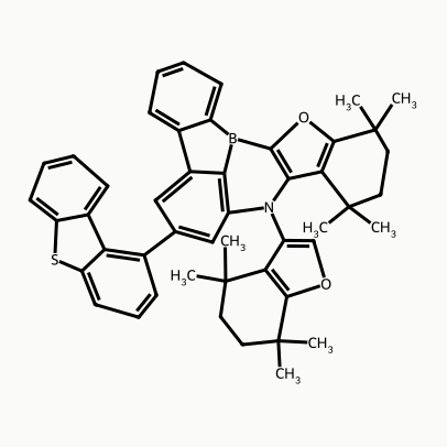 CC1(C)CCC(C)(C)c2c(N3c4cc(-c5cccc6sc7ccccc7c56)cc5c4B(c4ccccc4-5)c4oc5c(c43)C(C)(C)CCC5(C)C)coc21